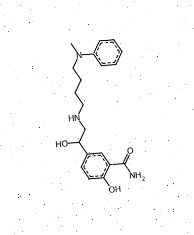 CN(CCCCNCC(O)c1ccc(O)c(C(N)=O)c1)c1ccccc1